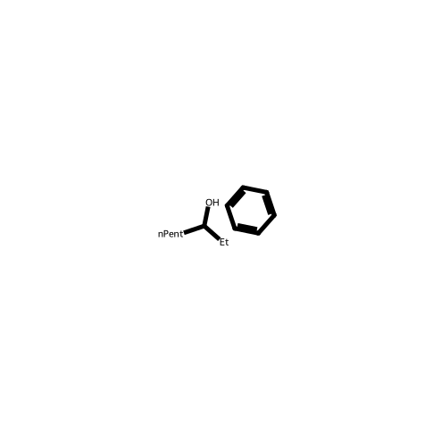 CCCCCC(O)CC.c1ccccc1